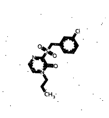 CCCn1ccnc(S(=O)(=O)Cc2cccc(Cl)c2)c1=O